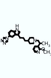 COc1ncccc1C(C)CN1CCC(CCCc2c[nH]c3ccc(-n4cnnc4)cc23)CC1